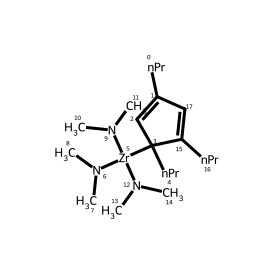 CCCC1=C[C](CCC)([Zr]([N](C)C)([N](C)C)[N](C)C)C(CCC)=C1